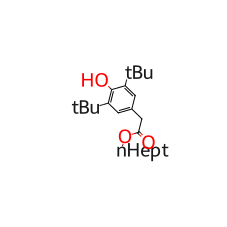 CCCCCCCOC(=O)Cc1cc(C(C)(C)C)c(O)c(C(C)(C)C)c1